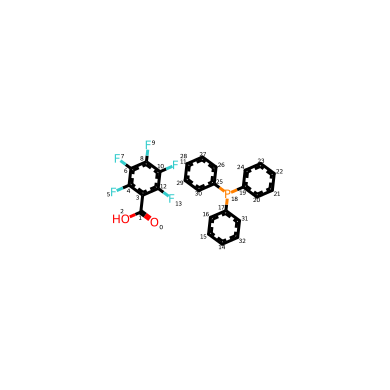 O=C(O)c1c(F)c(F)c(F)c(F)c1F.c1ccc(P(c2ccccc2)c2ccccc2)cc1